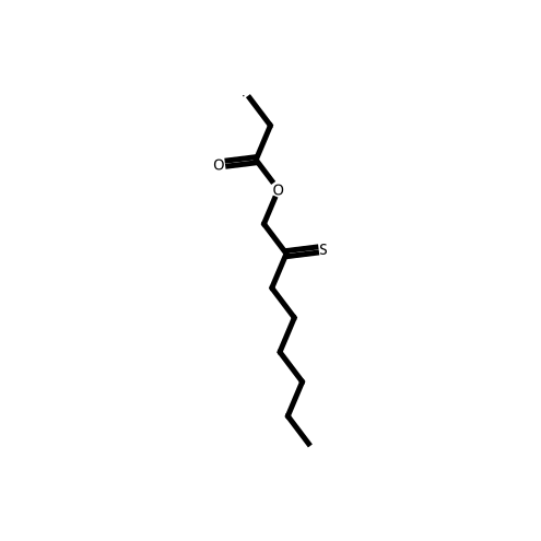 [CH2]CC(=O)OCC(=S)CCCCCC